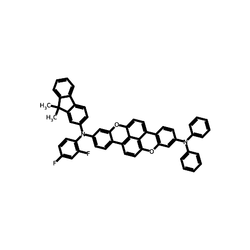 CC1(C)c2ccccc2-c2ccc(N(c3ccc4c(c3)Oc3ccc5c6c(ccc-4c36)Oc3cc(N(c4ccccc4)c4ccccc4)ccc3-5)c3ccc(F)cc3F)cc21